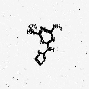 CNc1nc(N)nc(Nc2cccs2)n1